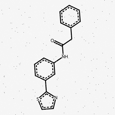 O=C(Cc1ccccc1)Nc1cccc(-c2nccs2)c1